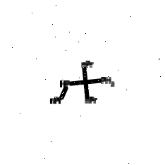 CCCPC(P)(CCC)CCC